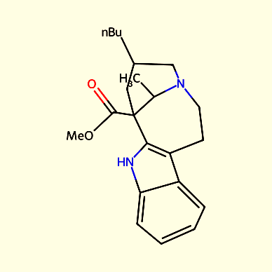 CCCCC1CN2CCc3c([nH]c4ccccc34)C(C(=O)OC)(C1)C2C